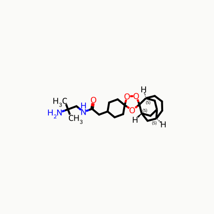 CC(C)(N)CNC(=O)CC1CCC2(CC1)OOC1(O2)[C@@H]2CC3C[C@@H]1CCC[C@H]3C2